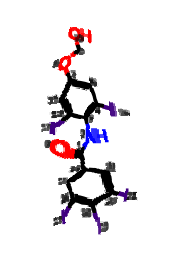 O=C(Nc1c(I)cc(OCO)cc1I)c1cc(I)c(I)c(I)c1